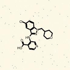 O=C(O)c1ccncc1Nc1nn(CC2CCOCC2)c2ccc(Cl)cc12